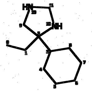 CCC1(C2CCCCC2)CNCN1